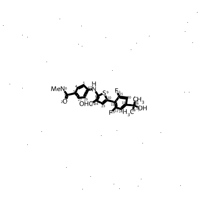 CNC(=O)c1ccc(Nc2sc(-c3c(F)cc(C(C)(C)O)cc3F)cc2C=O)cc1